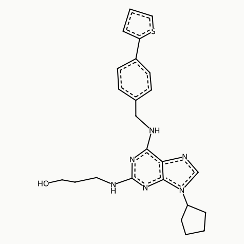 OCCCNc1nc(NCc2ccc(-c3cccs3)cc2)c2ncn(C3CCCC3)c2n1